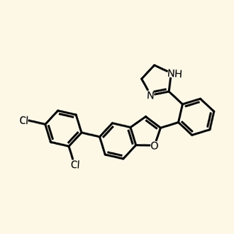 Clc1ccc(-c2ccc3oc(-c4ccccc4C4=NCCN4)cc3c2)c(Cl)c1